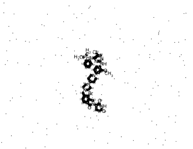 COc1cc(N2CCC(N3CCN(Cc4ccc5c(c4Br)CN(C4CCC(=O)NC4=O)C5=O)CC3)CC2)ccc1Nc1ncc(Cl)c(Nc2ccccc2P(C)C)n1